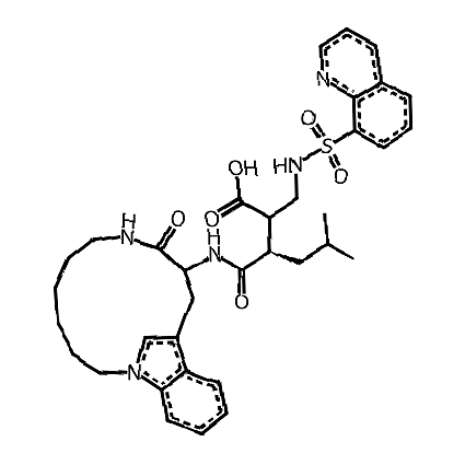 CC(C)C[C@@H](C(=O)NC1Cc2cn(c3ccccc23)CCCCCCNC1=O)C(CNS(=O)(=O)c1cccc2cccnc12)C(=O)O